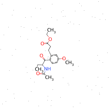 CCOC(=O)CCc1cc(OC)ccc1C(=O)C(CC)NC(C)=O